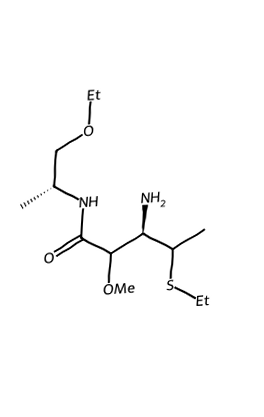 CCOC[C@@H](C)NC(=O)C(OC)[C@@H](N)C(C)SCC